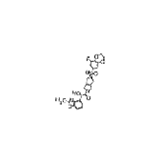 Cc1nc2c(C(O)C(=O)N3CC4=C(C3)CN(S(=O)(=O)c3cc(F)c5c(c3)OCCO5)C4)cccc2o1